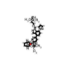 CC(C)(C)OC(=O)N1[C@@H]2CC[C@H]1CC(Nc1ccc(-c3ccc(-n4cccn4)c4c3cnn4COCC[Si](C)(C)C)nn1)C2